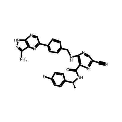 C[C@H](NC(=O)c1nc(C#N)cnc1NCc1ccc(-c2cnc3[nH]nc(N)c3n2)cc1)c1ccc(F)cc1